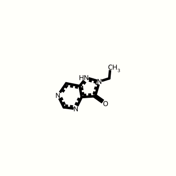 CCn1[nH]c2cncnc2c1=O